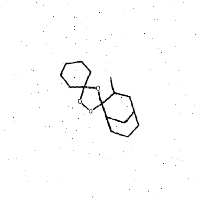 CC1CC2CCCC(C2)C12OOC1(CCCCC1)O2